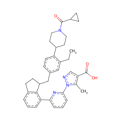 CCc1cc(CC2CCc3cccc(-c4cccc(-n5ncc(C(=O)O)c5C)n4)c32)ccc1C1CCN(C(=O)C2CC2)CC1